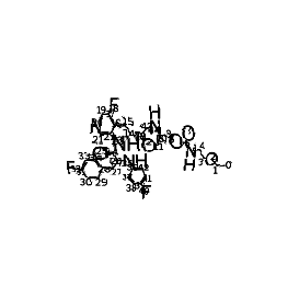 CCOCCNC(=O)OC[C@@H]1CO[C@H](CCc2c(F)cncc2NC(=O)[C@H](Cc2ccc(F)cc2)Nc2ccc(F)cc2)CN1